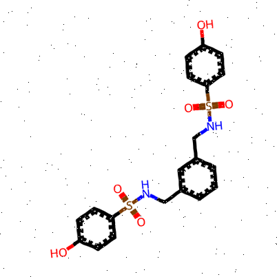 O=S(=O)(NCc1cccc(CNS(=O)(=O)c2ccc(O)cc2)c1)c1ccc(O)cc1